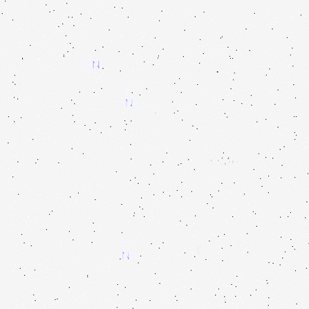 COC1CC2CSC(N)=NC2(c2cccc(-c3cncc(F)c3)c2)C1